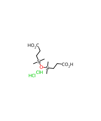 C[Si](C)(CCC(=O)O)O[Si](C)(C)CCC(=O)O.Cl.Cl